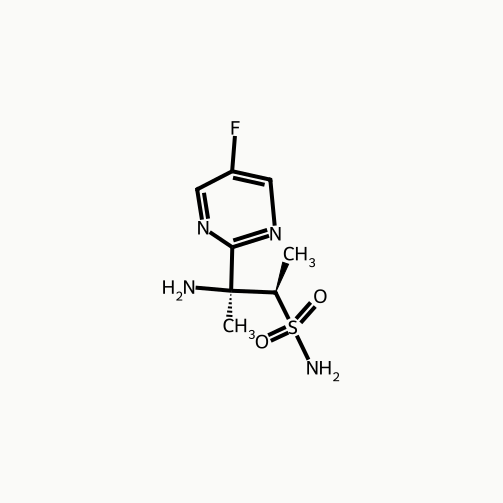 C[C@H]([C@@](C)(N)c1ncc(F)cn1)S(N)(=O)=O